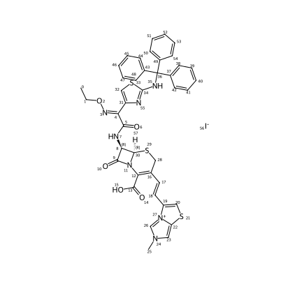 CCON=C(C(=O)N[C@@H]1C(=O)N2C(C(=O)O)=C(C=Cc3csc4cn(C)c[n+]34)CS[C@H]12)c1csc(NC(c2ccccc2)(c2ccccc2)c2ccccc2)n1.[I-]